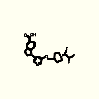 O=C(O)c1ccc2c(c1)CCN2c1cncc(OCC2CCN(C(F)C(F)F)CC2)c1